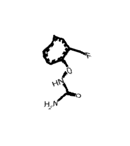 NC(=O)NOc1ccccc1F